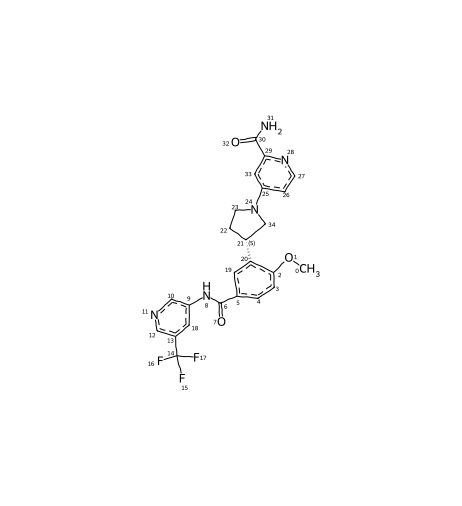 COc1ccc(C(=O)Nc2cncc(C(F)(F)F)c2)cc1[C@@H]1CCN(c2ccnc(C(N)=O)c2)C1